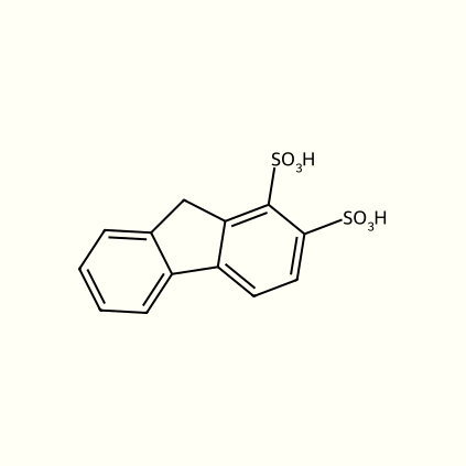 O=S(=O)(O)c1ccc2c(c1S(=O)(=O)O)Cc1ccccc1-2